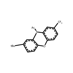 CC(=O)N1c2cc(C(C)(C)C)ccc2Oc2ccc(C(F)(F)F)cc21